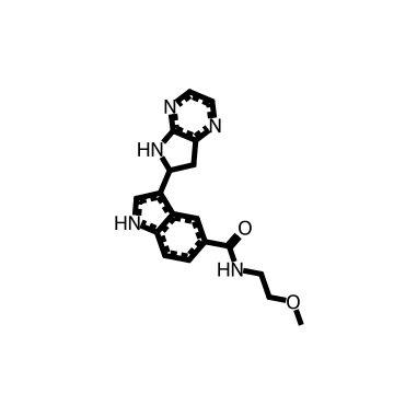 COCCNC(=O)c1ccc2[nH]cc(C3Cc4nccnc4N3)c2c1